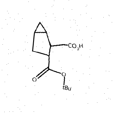 CC(C)(C)OC(=O)C1CC2CC2C1C(=O)O